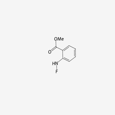 COC(=O)c1ccccc1NF